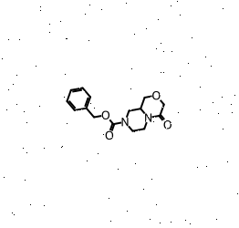 O=C(OCc1ccccc1)N1CCN2C(=O)COCC2C1